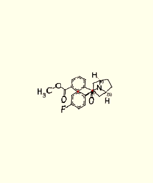 COC(=O)c1cccc(C(=O)N2[C@@H]3CC[C@H]2C[C@@H](c2ccc(F)cc2)C3)c1